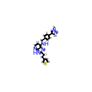 Cn1cc(-c2ccc(CNc3ccnc4[nH]c(CCc5ccsc5)nc34)cc2)cn1